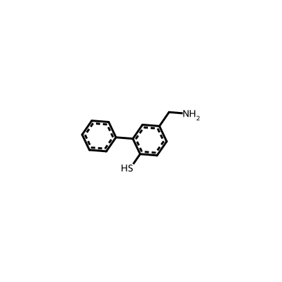 NCc1ccc(S)c(-c2ccccc2)c1